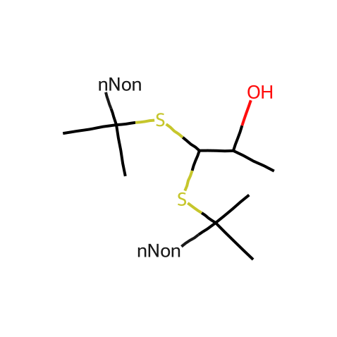 CCCCCCCCCC(C)(C)SC(SC(C)(C)CCCCCCCCC)C(C)O